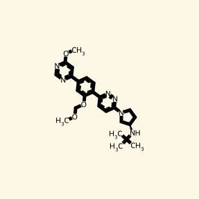 COCOc1cc(-c2cc(OC)ncn2)ccc1-c1ccc(N2CC[C@@H](NC(C)(C)C)C2)nn1